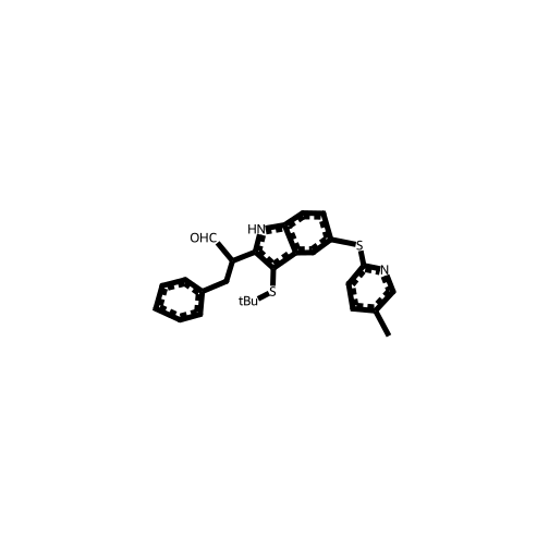 Cc1ccc(Sc2ccc3[nH]c(C(C=O)Cc4ccccc4)c(SC(C)(C)C)c3c2)nc1